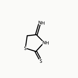 N=C1CSC(=S)N1